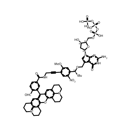 COc1cc([C@@H](OCc2cn([C@H]3C[C@@H](O)[C@@H](COP(=O)(O)OP(=O)(O)OP(=O)(O)O)O3)c3nc(N)[nH]c(=O)c23)C(C)(C)C)c([N+](=O)[O-])cc1C#CCNC(=O)c1ccc(C=O)c(C2=c3cc4c5c(c3Oc3c2cc2c6c3CCCN6CCC2)CCC[N+]=5CCC4)c1